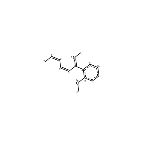 C\C=C/C=C\C(=N\C)c1ccccc1OC